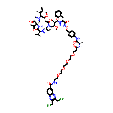 CC[C@H](C)[C@@H]([C@@H](CC(=O)N1CCC[C@H]1[C@H](OC)[C@@H](C)C(=O)N[C@@H](Cc1ccccc1)C(=O)NOCc1ccc(NC(=O)[C@@H](C)NC(=O)CCOCCOCCOCCOCCNC(=O)c2ccc3nc(CBr)c(CBr)nc3c2)cc1)OC)N(C)C[C@](C=O)(NC(=O)[C@H](C(C)C)N(C)C)C(C)C